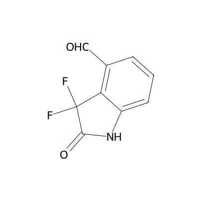 O=Cc1cccc2c1C(F)(F)C(=O)N2